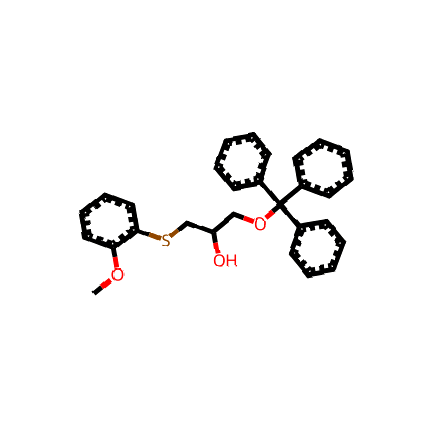 COc1ccccc1SCC(O)COC(c1ccccc1)(c1ccccc1)c1ccccc1